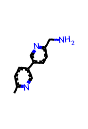 Cc1ccc(-c2ccc(CN)nc2)cn1